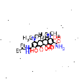 CCC(CC)CNCc1cc(N(C)C)c2c(c1O)C(=O)C1=C(O)[C@]3(O)C(=O)C(C(N)=O)=C(O)C(N(C)C)[C@@H]3C[C@@H]1C2